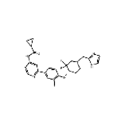 Cc1cc(-c2cc(NC(=O)C3CC3)ncn2)ccc1O[C@H]1CCN(Cc2nnc[nH]2)CC1(F)F